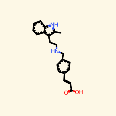 Cc1[nH]c2ccccc2c1CCNCc1ccc(/C=C/C(=O)O)cc1